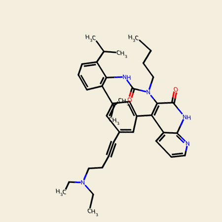 CCCCN(C(=O)Nc1c(C(C)C)cccc1C(C)C)c1c(-c2cccc(C#CCCN(CC)CC)c2)c2cccnc2[nH]c1=O